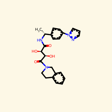 C[C@@H](NC(=O)[C@H](O)[C@@H](O)C(=O)N1CCc2ccccc2C1)c1ccc(-n2cccn2)cc1